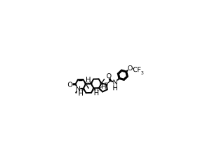 CN1C(=O)C=C[C@]2(C)[C@H]3CC[C@]4(C)[C@@H](C(=O)Nc5ccc(OC(F)(F)F)cc5)CC[C@H]4[C@@H]3CC[C@@H]12